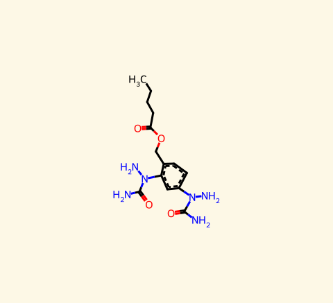 CCCCC(=O)OCc1ccc(N(N)C(N)=O)cc1N(N)C(N)=O